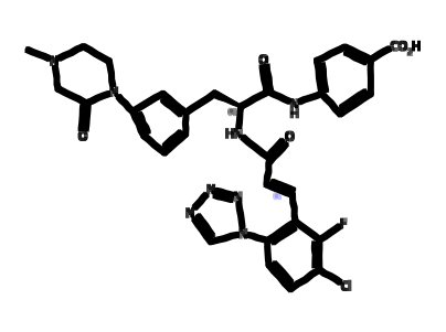 CN1CCN(c2cccc(C[C@H](NC(=O)/C=C/c3c(-n4cnnn4)ccc(Cl)c3F)C(=O)Nc3ccc(C(=O)O)cc3)c2)C(=O)C1